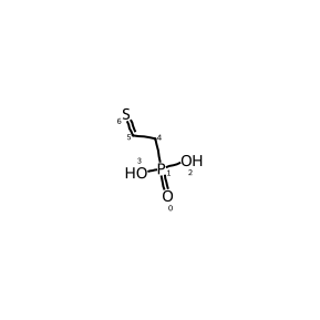 O=P(O)(O)CC=S